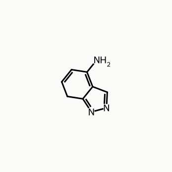 NC1=C2C=NN=C2CC=C1